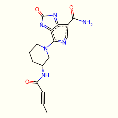 CC#CC(=O)N[C@@H]1CCCN(c2ncc(C(N)=O)c3c2=NC(=O)N=3)C1